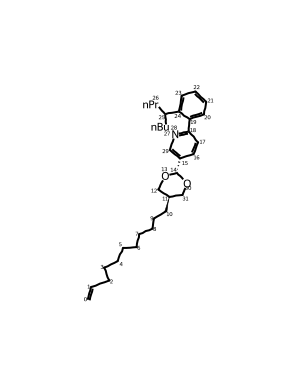 C=CCCCCCCCCC[C@H]1CO[C@H](c2ccc(-c3ccccc3C(CCC)CCCC)nc2)OC1